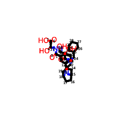 O=C(NC(O)C(=O)O)c1cccc(C2CC3CCC(C2)N3CCN(CC2CCCCC2)C(=O)[C@@H](O)CO)c1